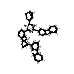 c1ccc(C2NC(c3cccc4c3oc3c(-c5cccc6c5sc5ccccc56)cccc34)=NC(c3ccc4oc5ccccc5c4c3)N2)cc1